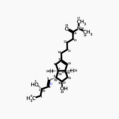 CC[C@H](O)/C=C/[C@@H]1[C@H]2CC(CCCCC(=O)N(C)C)=C[C@H]2C[C@H]1O